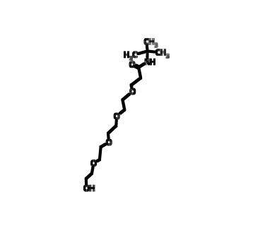 CC(C)(C)NC(=O)CCOCCOCCOCCOCCO